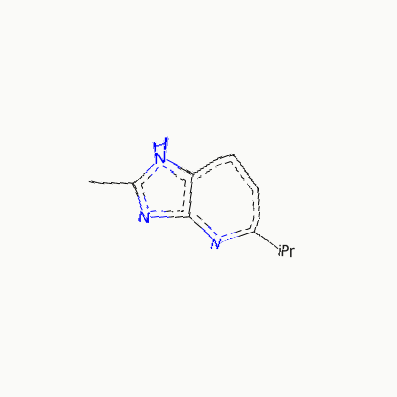 Cc1nc2nc(C(C)C)ccc2[nH]1